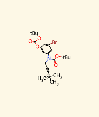 CC(C)(C)OC(=O)Oc1cc(Br)cc(N(CC#C[Si](C)(C)C)C(=O)OC(C)(C)C)c1